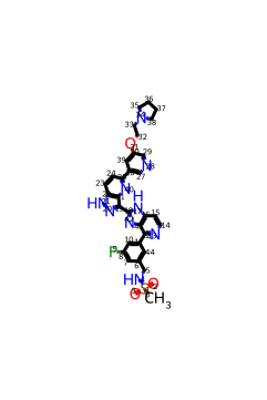 CS(=O)(=O)NCc1cc(F)cc(-c2nccc3[nH]c(-c4n[nH]c5ccc(-c6cncc(OCCN7CCCC7)c6)nc45)nc23)c1